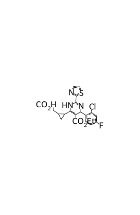 CCOC(=O)C1=C(C2CC2CC(=O)O)NC(c2nccs2)=NC1c1ccc(F)cc1Cl